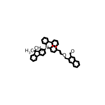 CC1(C)c2ccccc2-c2ccc(N(c3ccc(C=COCc4cc5ccccc5cc4C=O)cc3)c3ccccc3-c3ccccc3)cc21